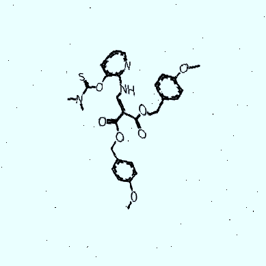 COc1ccc(COC(=O)C(=CNc2ncccc2OC(=S)N(C)C)C(=O)OCc2ccc(OC)cc2)cc1